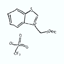 CCCCCCCCCCC[n+]1csc2ccccc21.O=S(=O)([O-])C(F)(F)F